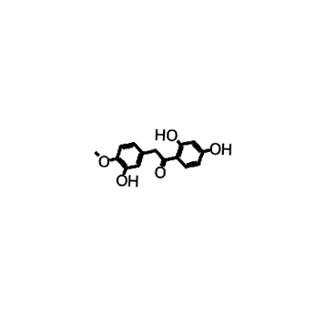 COc1ccc(CC(=O)c2ccc(O)cc2O)cc1O